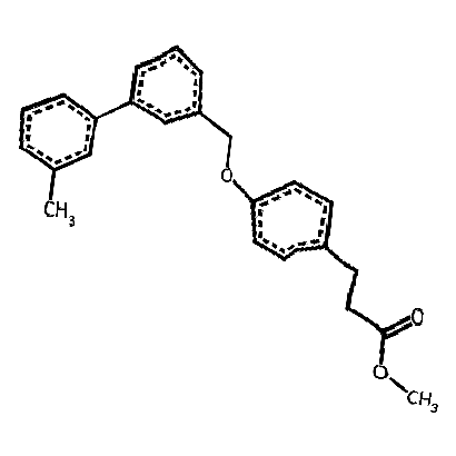 COC(=O)CCc1ccc(OCc2cccc(-c3cccc(C)c3)c2)cc1